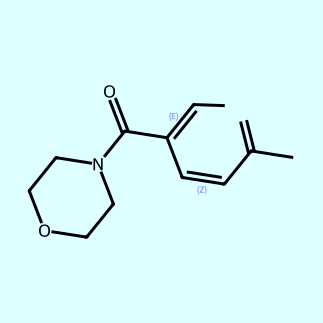 C=C(C)/C=C\C(=C/C)C(=O)N1CCOCC1